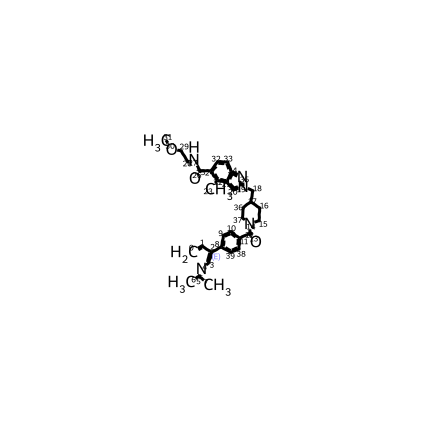 C=C/C(=C\N=C(C)C)c1ccc(C(=O)N2CCC(Cn3cc4c(C)c(C(=O)NCCOC)ccc4n3)CC2)cc1